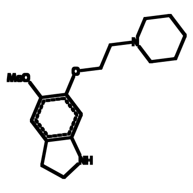 COc1cc2c(cc1OCCN1CCCCC1)NCC2